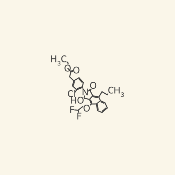 CCCc1c2c(c(OCC(F)F)c3ccccc13)C(O)N(c1ccc(CC(=O)OCC)cc1Cl)C2=O